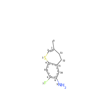 CC1=CSc2cc(F)c(N)cc2CC1